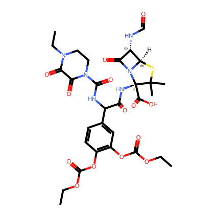 CCOC(=O)Oc1ccc(C(NC(=O)N2CCN(CC)C(=O)C2=O)C(=O)N[C@@]2(C(=O)O)N3C(=O)[C@H](NC=O)[C@H]3SC2(C)C)cc1OC(=O)OCC